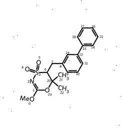 COC1=NS(=O)(=O)C(Cc2cccc(-c3ccccc3)c2)C(C)(C)O1